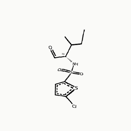 CCC(C)[C@@H](C=O)NS(=O)(=O)c1ccc(Cl)s1